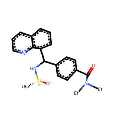 CCN(CC)C(=O)c1ccc(C(N[S@+]([O-])C(C)(C)C)c2cccc3cccnc23)cc1